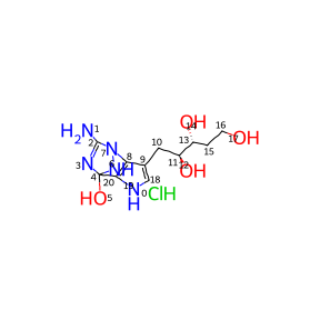 Cl.NC1=NC2(O)NN1c1c(C[C@H](O)[C@H](O)CCO)c[nH]c12